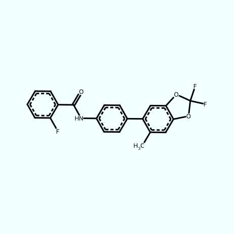 Cc1cc2c(cc1-c1ccc(NC(=O)c3ccccc3F)cc1)OC(F)(F)O2